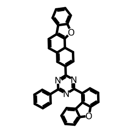 C1=Cc2c(oc3ccccc23)C2CC=C(c3nc(-c4ccccc4)nc(-c4cccc5oc6ccccc6c45)n3)C=C12